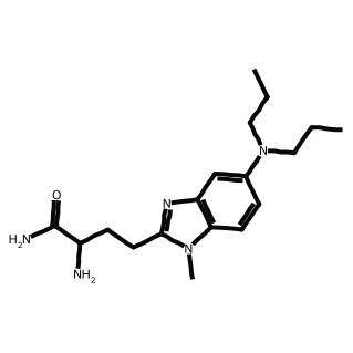 CCCN(CCC)c1ccc2c(c1)nc(CCC(N)C(N)=O)n2C